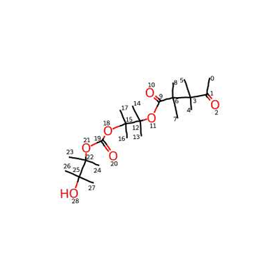 CC(=O)C(C)(C)C(C)(C)C(=O)OC(C)(C)C(C)(C)OC(=O)OC(C)(C)C(C)(C)O